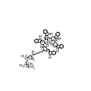 COC(C)(C)CCOC(C)(C)CC(=O)NCCCCCC(=O)NC(Cc1c[nH]c2ccccc12)C(=O)NC(Cc1c[nH]c2ccccc12)C(=O)NC(Cc1c[nH]c2ccccc12)C(=O)NC(Cc1c[nH]c2ccccc12)C(=O)NC(Cc1c[nH]c2ccccc12)C(N)=O